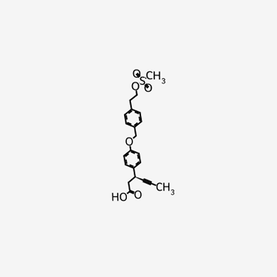 CC#C[C@@H](CC(=O)O)c1ccc(OCc2ccc(CCOS(C)(=O)=O)cc2)cc1